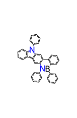 c1ccc(B2c3ccccc3-c3cc4c(cc3N2c2ccccc2)c2ccccc2n4-c2ccccc2)cc1